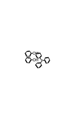 Oc1ccccc1.Oc1ccccc1.c1ccc(P(c2ccccc2)c2ccccc2)cc1